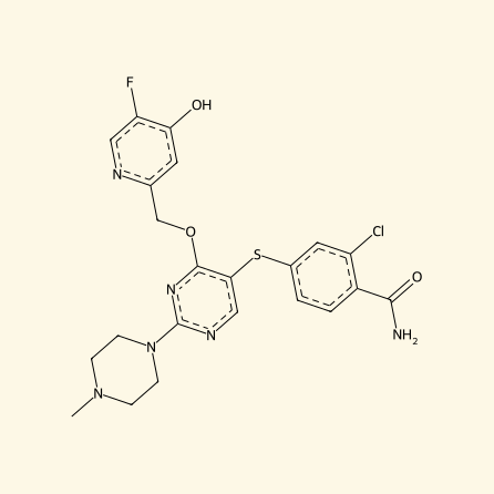 CN1CCN(c2ncc(Sc3ccc(C(N)=O)c(Cl)c3)c(OCc3cc(O)c(F)cn3)n2)CC1